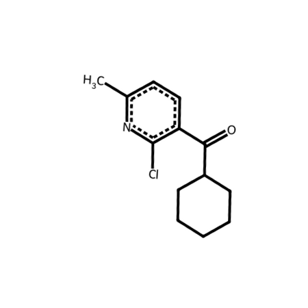 Cc1ccc(C(=O)C2CCCCC2)c(Cl)n1